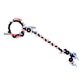 CO[C@H]1C[C@@H]2CC[C@@H](C)[C@@](O)(O2)C(=O)C(=O)N2CCCC[C@H]2C(=O)O[C@H]([C@H](N)C[C@@H]2CC[C@@H](OC(=S)NCCOCCOCCOCCOCCOCCOCCOCCCC(=O)N3CCc4cc(Cn5cc(-c6ccc7oc(N)nc7c6)c6c(N)ncnc65)ccc4C3)[C@H](OC)C2)CC(=O)[C@H](C)/C=C(\C)[C@@H](O)[C@@H](O)C(=O)[C@H](C)C[C@H](C)/C=C/C=C/C=C/1C